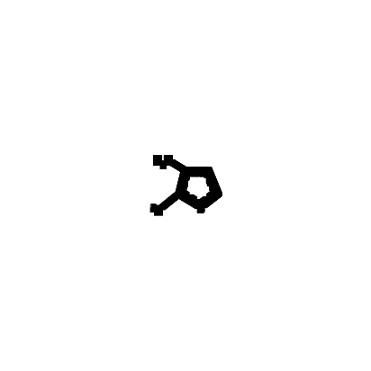 [2H]c1sccc1N